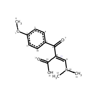 COc1ccc(C(=O)/C(=C/N(C)C)C(=O)O)cc1